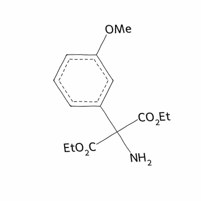 CCOC(=O)C(N)(C(=O)OCC)c1cccc(OC)c1